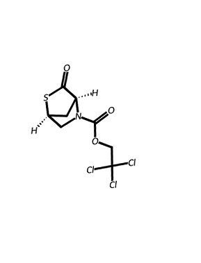 O=C1S[C@H]2C[C@@H]1N(C(=O)OCC(Cl)(Cl)Cl)C2